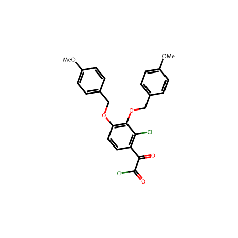 COc1ccc(COc2ccc(C(=O)C(=O)Cl)c(Cl)c2OCc2ccc(OC)cc2)cc1